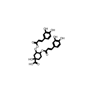 O=C(/C=C/c1ccc(O)c(O)c1)OOC1CC(O)(C(=O)O)CCC1OC(=O)/C=C/c1ccc(O)c(O)c1